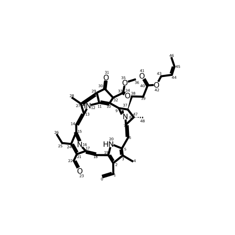 C=Cc1c(C)c2cc3nc(c4c5[nH]c(cc6nc(cc1[nH]2)C(C=O)=C6CC)c(C)c5C(=O)C4C(=O)OC)[C@@H](CCC(=O)OC/C=C\C)[C@@H]3C